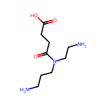 NCCCN(CCN)C(=O)CCC(=O)O